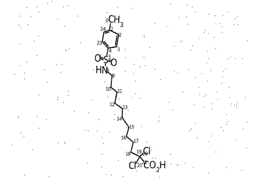 Cc1ccc(S(=O)(=O)NCCCCCCCCCCC(Cl)(Cl)C(=O)O)cc1